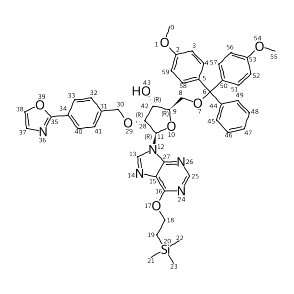 COc1ccc(C(OC[C@H]2O[C@@H](n3cnc4c(OCC[Si](C)(C)C)ncnc43)[C@H](OCc3ccc(-c4ncco4)cc3)[C@@H]2O)(c2ccccc2)c2ccc(OC)cc2)cc1